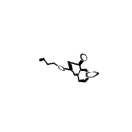 C=CCCOc1cc2ccocc-2c(=O)c1